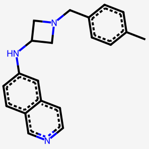 Cc1ccc(CN2CC(Nc3ccc4cnccc4c3)C2)cc1